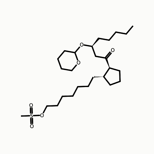 CCCCC[C@@H](CC(=O)[C@H]1CCC[C@@H]1CCCCCCCOS(C)(=O)=O)OC1CCCCO1